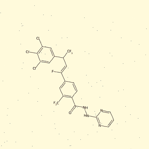 O=C(NNc1ncccn1)c1ccc(C(F)=CC(c2cc(Cl)c(Cl)c(Cl)c2)C(F)(F)F)cc1C(F)(F)F